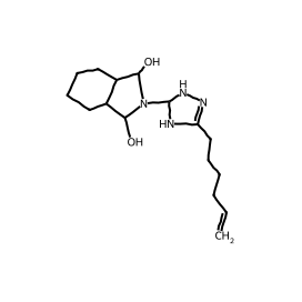 C=CCCCCC1=NNC(N2C(O)C3CCCCC3C2O)N1